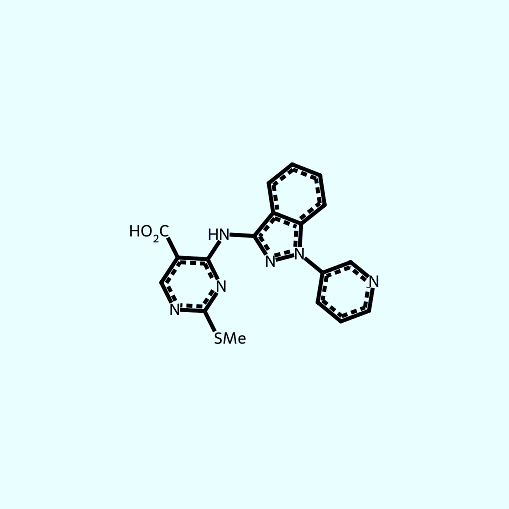 CSc1ncc(C(=O)O)c(Nc2nn(-c3cccnc3)c3ccccc23)n1